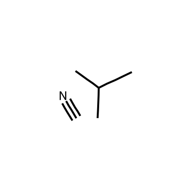 C#N.CC(C)C